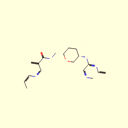 C=C/N=C(\C=N/C)N[C@H]1CO[C@H](CNC(=O)C(=C)/C=N\C=C/C)[C@H](O)[C@@H]1O